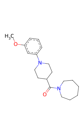 COc1cccc(N2CCC(C(=O)N3CCCCCC3)CC2)c1